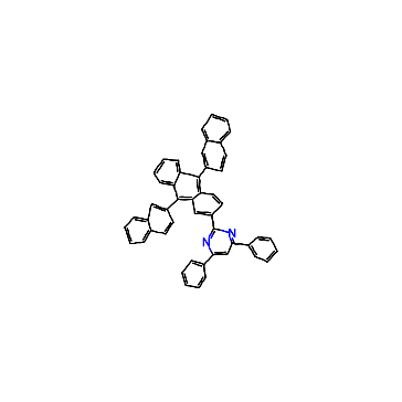 c1ccc(-c2cc(-c3ccccc3)nc(-c3ccc4c(-c5ccc6ccccc6c5)c5ccccc5c(-c5ccc6ccccc6c5)c4c3)n2)cc1